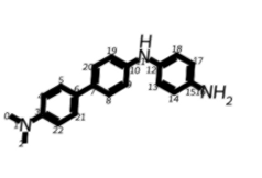 CN(C)c1ccc(-c2ccc(Nc3ccc(N)cc3)cc2)cc1